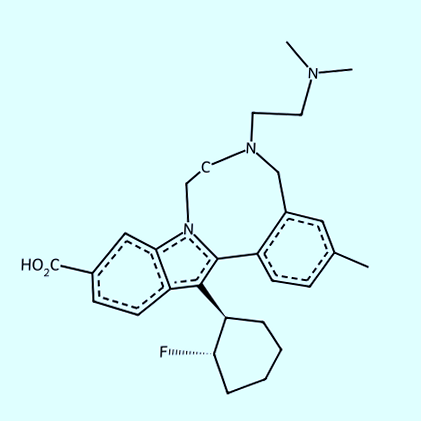 Cc1ccc2c(c1)CN(CCN(C)C)CCn1c-2c([C@H]2CCCC[C@@H]2F)c2ccc(C(=O)O)cc21